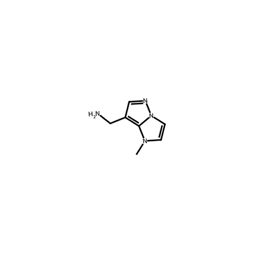 Cn1ccn2ncc(CN)c12